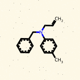 C=CCN(Cc1ccccc1)c1ccc(C)cc1